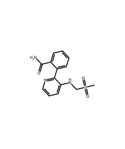 CS(=O)(=O)CNc1cccnc1-c1ccccc1C(N)=O